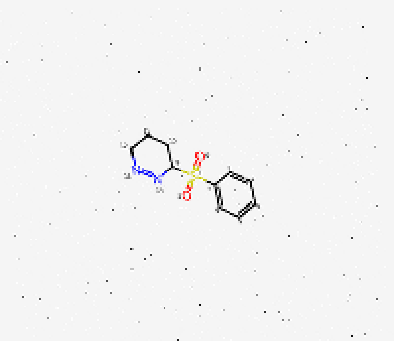 O=S(=O)(c1ccccc1)C1CCCN=N1